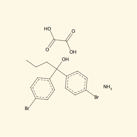 CCCC(O)(c1ccc(Br)cc1)c1ccc(Br)cc1.N.O=C(O)C(=O)O